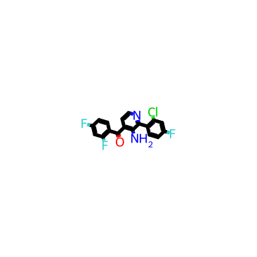 Nc1c(C(=O)c2ccc(F)cc2F)ccnc1-c1ccc(F)cc1Cl